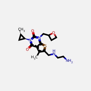 Cc1c(CNCCN)sc2c1c(=O)n([C@H]1C[C@@H]1C)c(=O)n2CC1CCO1